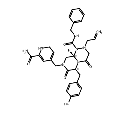 C=CCN1CC(=O)N2[C@@H](Cc3ccc(O)cc3)C(=O)N(CC3=CCNC(C(N)=O)=C3)C[C@@H]2N1C(=O)NCc1ccccc1